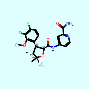 CCOc1c([C@H]2[C@@H](C(=O)Nc3ccnc(C(N)=O)c3)O[C@@](C)(C(F)(F)F)[C@@H]2C)ccc(F)c1F